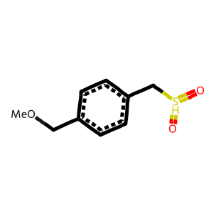 COCc1ccc(C[SH](=O)=O)cc1